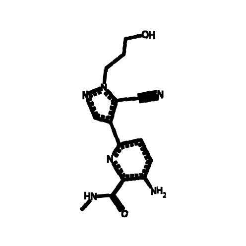 CNC(=O)c1nc(-c2cnn(CCCO)c2C#N)ccc1N